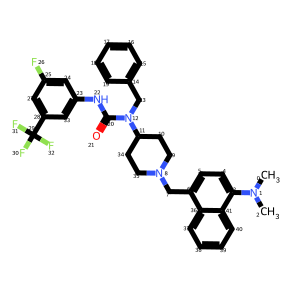 CN(C)c1ccc(CN2CCC(N(Cc3ccccc3)C(=O)Nc3cc(F)cc(C(F)(F)F)c3)CC2)c2ccccc12